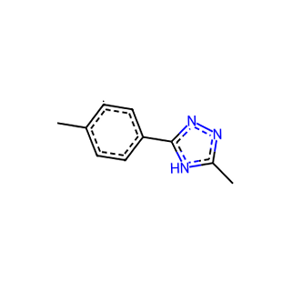 Cc1[c]cc(-c2nnc(C)[nH]2)cc1